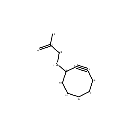 C=C(C)CSC1C#CCCCCC1